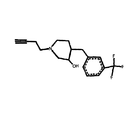 C#CCCN1CCC(Cc2cccc(C(F)(F)F)c2)C(O)C1